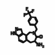 NC1Cc2ccc3[nH]ncc3c2CN(Cc2ccc(C(F)(F)F)cc2)C1=O